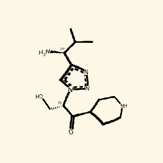 CC(C)[C@H](N)c1cn([C@@H](CO)C(=O)C2CCNCC2)nn1